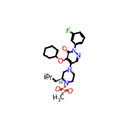 CC(C)C[C@H]1CN(c2cnn(-c3cccc(F)c3)c(=O)c2OC2CCCCC2)CCN1S(C)(=O)=O